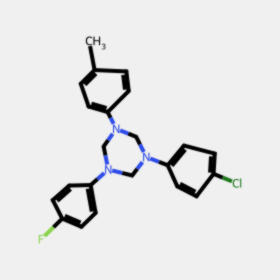 Cc1ccc(N2CN(c3ccc(F)cc3)CN(c3ccc(Cl)cc3)C2)cc1